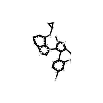 Cc1nn(C)c(-n2cnc3cccc(OC4CC4)c32)c1-c1ccc(F)cc1Cl